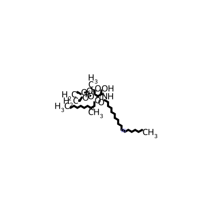 C=CCOP(=O)(OCC=C)OC1[C@@H](CC)OC(O)[C@H](NC(=O)CCCCCCCCC/C=C\CCCCCC)[C@H]1OCC[C@H](C)CCCCCCC